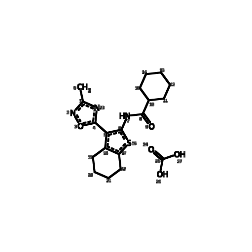 Cc1noc(-c2c(NC(=O)C3CCCCC3)sc3c2CCCC3)n1.O=C(O)O